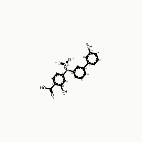 O=C(O)c1ccc(N(c2cccc(-c3cccc(O)c3)c2)[SH](=O)=O)cc1O